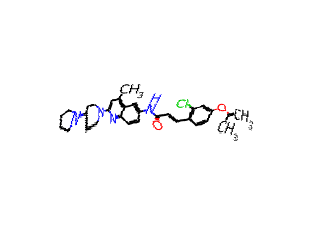 Cc1cc(N2CCC(N3CCCC3)CC2)nc2ccc(NC(=O)C=Cc3ccc(OC(C)C)cc3Cl)cc12